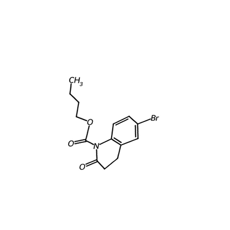 CCCCOC(=O)N1C(=O)CCc2cc(Br)ccc21